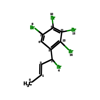 CC=CC(Br)c1cc(Br)c(Br)c(Br)c1Br